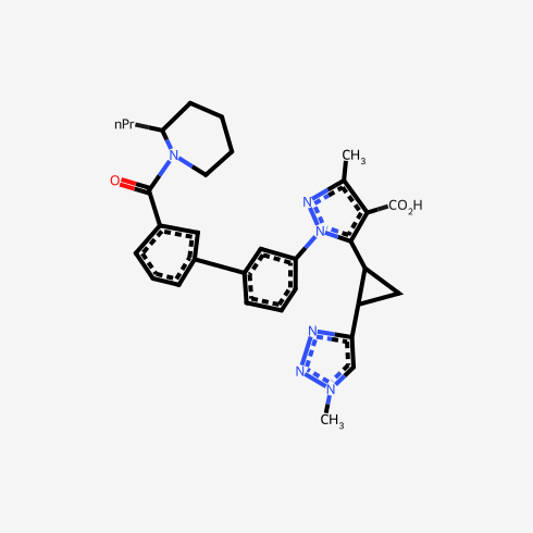 CCCC1CCCCN1C(=O)c1cccc(-c2cccc(-n3nc(C)c(C(=O)O)c3C3CC3c3cn(C)nn3)c2)c1